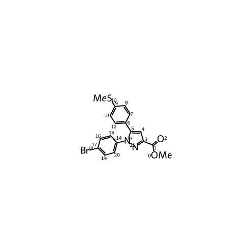 COC(=O)c1cc(-c2ccc(SC)cc2)n(-c2ccc(Br)cc2)n1